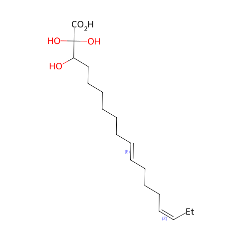 CC/C=C\CCC/C=C/CCCCCCC(O)C(O)(O)C(=O)O